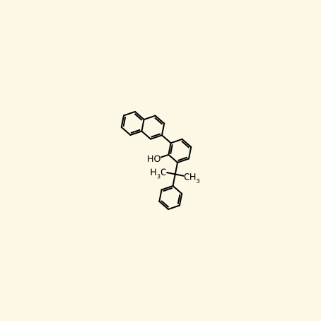 CC(C)(c1ccccc1)c1cccc(-c2ccc3ccccc3c2)c1O